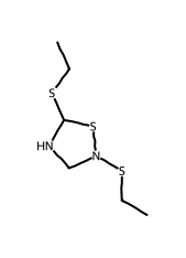 CCSC1NCN(SCC)S1